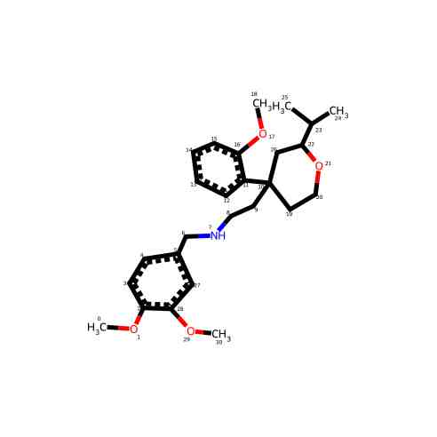 COc1ccc(CNCCC2(c3ccccc3OC)CCOC(C(C)C)C2)cc1OC